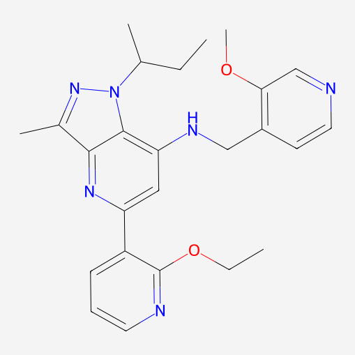 CCOc1ncccc1-c1cc(NCc2ccncc2OC)c2c(n1)c(C)nn2C(C)CC